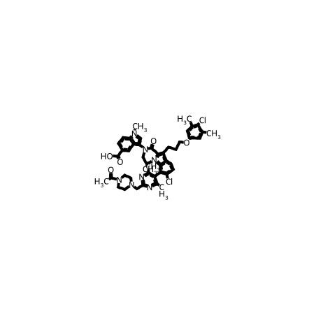 CC(=O)N1CCN(Cc2nc(C)c(-c3c(Cl)ccc4c(CCCOc5cc(C)c(Cl)c(C)c5)c5n(c34)[C@H](C)CN(c3cn(C)c4ccc(C(=O)O)cc34)C5=O)c(C)n2)CC1